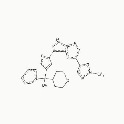 Cn1cc(-c2cnc3[nH]cc(-c4cc(C(O)(c5ccccc5)C5CCOCC5)no4)c3c2)cn1